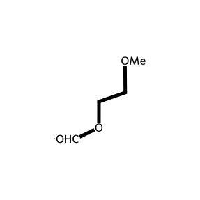 COCCO[C]=O